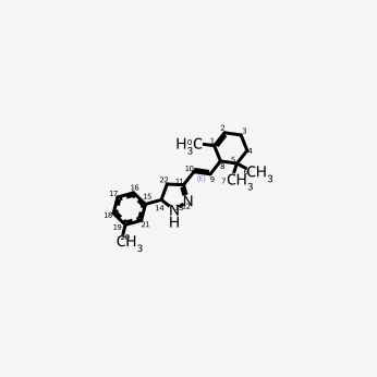 CC1=CCCC(C)(C)C1/C=C/C1=NNC(c2cccc(C)c2)C1